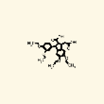 CCOc1ccc(C2c3cc(OCC)c(OCC)cc3C(CC(=O)O)C2C(=O)O)cc1OCC